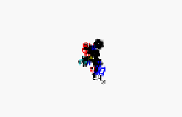 CCNC(=O)Nc1cc(-c2nc(C(F)(F)F)cs2)c(-c2ccc3c(c2)c(=O)c(C(=O)O)cn3C2CCCCC2)cn1